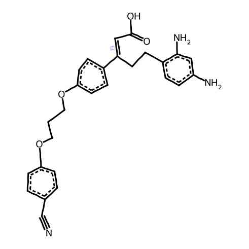 N#Cc1ccc(OCCCOc2ccc(/C(=C/C(=O)O)CCc3ccc(N)cc3N)cc2)cc1